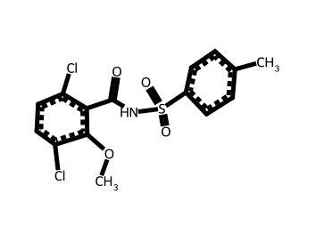 COc1c(Cl)ccc(Cl)c1C(=O)NS(=O)(=O)c1ccc(C)cc1